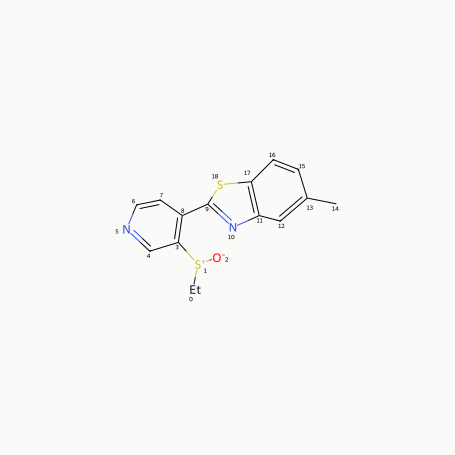 CC[S+]([O-])c1cnccc1-c1nc2cc(C)ccc2s1